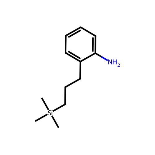 C[Si](C)(C)CCCc1ccccc1N